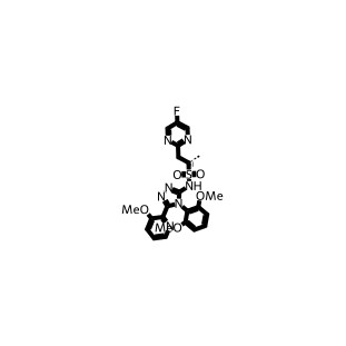 COc1cccnc1-c1nnc(NS(=O)(=O)[C@@H](C)Cc2ncc(F)cn2)n1-c1c(OC)cccc1OC